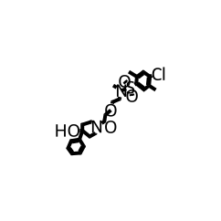 Cc1cc(S(=O)(=O)N(C)CCOCC(=O)N2CCC(O)(c3ccccc3)CC2)c(C)cc1Cl